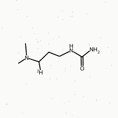 [2H]C(CCNC(N)=O)N(C)C